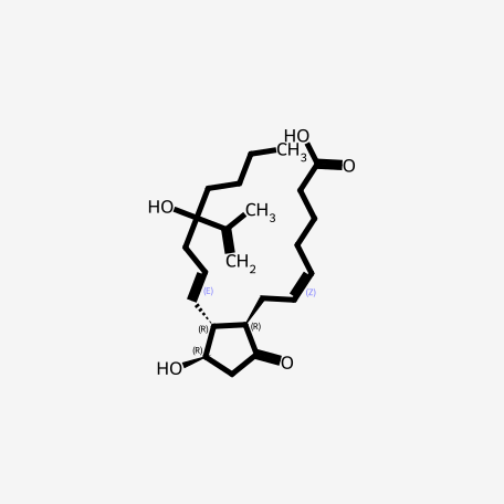 C=C(C)C(O)(C/C=C/[C@H]1[C@H](O)CC(=O)[C@@H]1C/C=C\CCCC(=O)O)CCCC